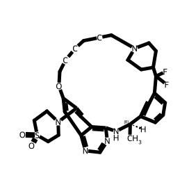 C[C@H]1Nc2ncnc3cc(c(N4CCS(=O)(=O)CC4)cc23)OCCCCCCN2CCC(CC2)C(F)(F)c2cccc1c2